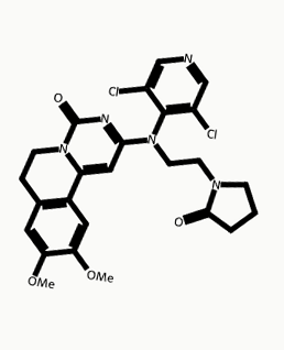 COc1cc2c(cc1OC)-c1cc(N(CCN3CCCC3=O)c3c(Cl)cncc3Cl)nc(=O)n1CC2